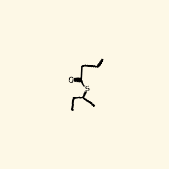 CCCC(=O)SC(C)CC